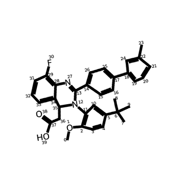 COc1ccc(C(C)(C)C)cc1N1C(c2ccc(-c3cccc(C)c3)cc2)=Nc2c(F)cccc2C1CC(=O)O